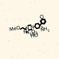 COCCc1nnc2n1CCN([C@H]1CC[C@](CN)(c3cccc(Cl)c3)CC1)C2=O.Cl.Cl